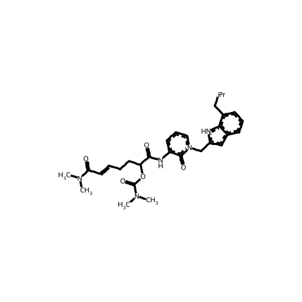 CC(C)Cc1cccc2cc(Cn3cccc(NC(=O)C(CCC=CC(=O)N(C)C)OC(=O)N(C)C)c3=O)[nH]c12